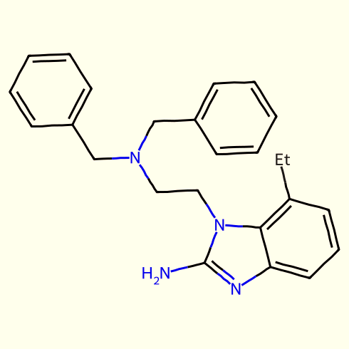 CCc1cccc2nc(N)n(CCN(Cc3ccccc3)Cc3ccccc3)c12